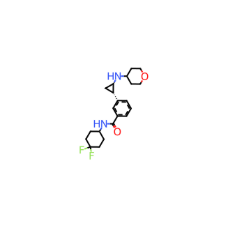 O=C(NC1CCC(F)(F)CC1)c1cccc([C@@H]2C[C@H]2NC2CCOCC2)c1